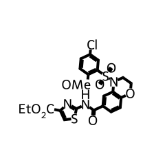 CCOC(=O)c1csc(NC(=O)c2ccc3c(c2)N(S(=O)(=O)c2cc(Cl)ccc2OC)CCO3)n1